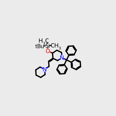 CC(C)(C)[Si](C)(C)OC1CCN(C(c2ccccc2)(c2ccccc2)c2ccccc2)C/C1=C\CN1CCCCC1